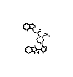 CC1CN(c2scnc2-c2nc3ccccc3[nH]2)CCN1C(=O)Cn1ncc2cccnc21